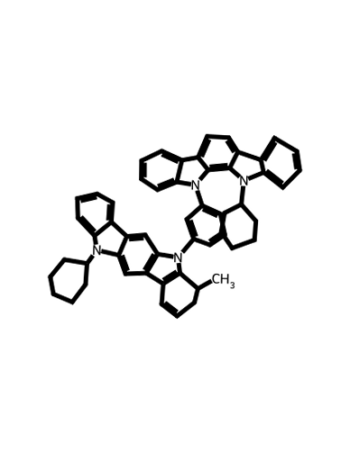 CC1CC=Cc2c1n(-c1cccc(-n3c4ccccc4c4ccc5c6ccccc6n(C6CCCCC6)c5c43)c1)c1cc3c4ccccc4n(C4CCCCC4)c3cc21